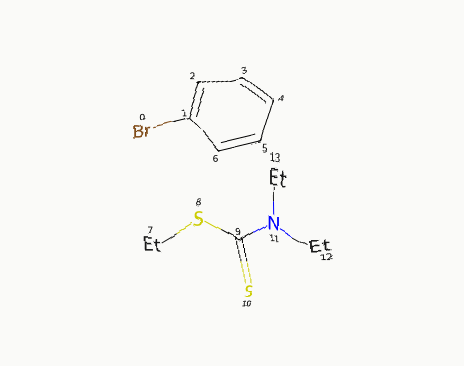 Brc1ccccc1.CCSC(=S)N(CC)CC